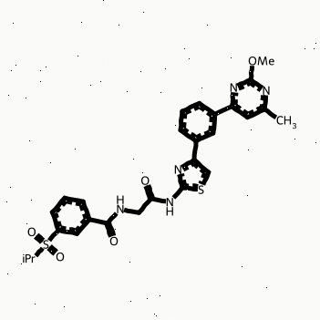 COc1nc(C)cc(-c2cccc(-c3csc(NC(=O)CNC(=O)c4cccc(S(=O)(=O)C(C)C)c4)n3)c2)n1